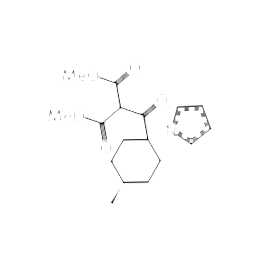 COC(=O)C(C(=O)OC)C(=O)[C@]1(n2cccc2)CC[C@H](C)CC1